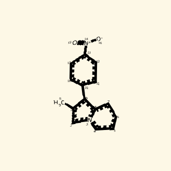 Cc1cn2ccccc2c1-c1ccc([N+](=O)[O-])cc1